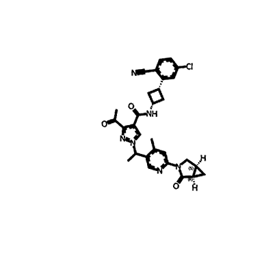 CC(=O)c1nn(C(C)c2cnc(N3C[C@H]4C[C@H]4C3=O)cc2C)cc1C(=O)N[C@H]1C[C@@H](c2cc(Cl)ccc2C#N)C1